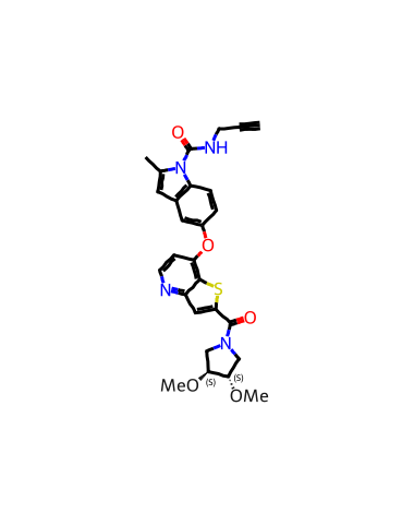 C#CCNC(=O)n1c(C)cc2cc(Oc3ccnc4cc(C(=O)N5C[C@H](OC)[C@@H](OC)C5)sc34)ccc21